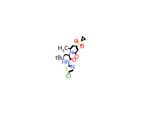 Cc1cc(S(=O)(=O)C2CC2)cc(=O)n1C(CC(C)(C)C)C(=O)Nc1ncc(Cl)s1